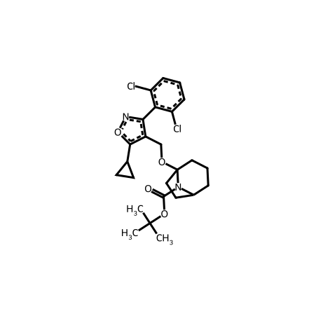 CC(C)(C)OC(=O)N1C2CCCC1(OCc1c(-c3c(Cl)cccc3Cl)noc1C1CC1)CC2